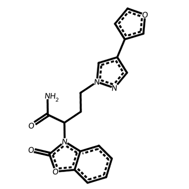 NC(=O)C(CCn1cc(-c2ccoc2)cn1)n1c(=O)oc2ccccc21